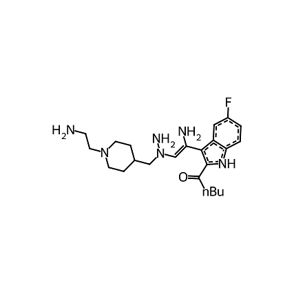 CCCCC(=O)c1[nH]c2ccc(F)cc2c1/C(N)=C/N(N)CC1CCN(CCN)CC1